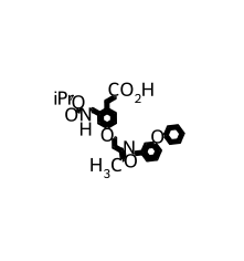 Cc1oc(-c2cccc(OC3CCCCC3)c2)nc1CCOc1ccc(CCC(=O)O)c(CNC(=O)OC(C)C)c1